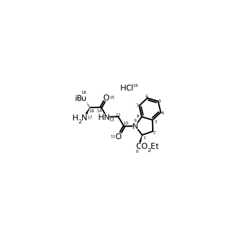 CCOC(=O)[C@@H]1Cc2ccccc2N1C(=O)CNC(=O)[C@@H](N)[C@@H](C)CC.Cl